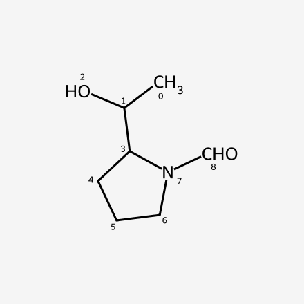 CC(O)C1CCCN1C=O